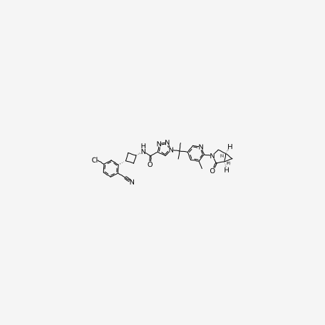 Cc1cc(C(C)(C)n2cc(C(=O)N[C@H]3C[C@@H](c4cc(Cl)ccc4C#N)C3)nn2)cnc1N1C[C@H]2C[C@H]2C1=O